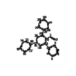 C=Cc1c(-c2ccccc2)cc(-c2ccccc2)cc1-c1ccccc1